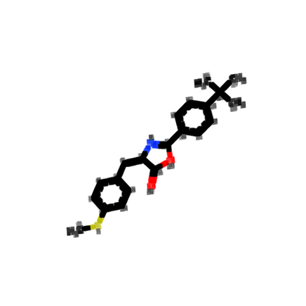 CSc1ccc(/C=C2/N=C(c3ccc(C(C)(C)C)cc3)OC2=O)cc1